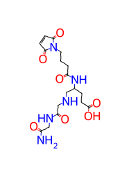 NC(=O)CNC(=O)CNCC(CCC(=O)O)NC(=O)CCCN1C(=O)C=CC1=O